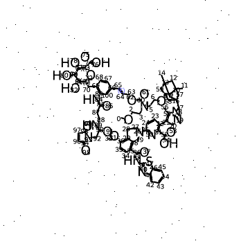 COCCN(CCOC12CC3(C)CC(C)(CC(Cn4ncc(-c5ccc(N6CCc7c(OC)ccc(C(=O)Nc8nc9ccccc9s8)c7C6)nc5C(=O)O)c4C)(C3)C1)C2)C(=O)OC/C=C/c1ccc(C[C@@H]2O[C@H](C(=O)O)[C@@H](O)[C@H](O)[C@H]2O)c(NC(=O)CCNC(=O)CN2C(=O)C=CC2=O)c1